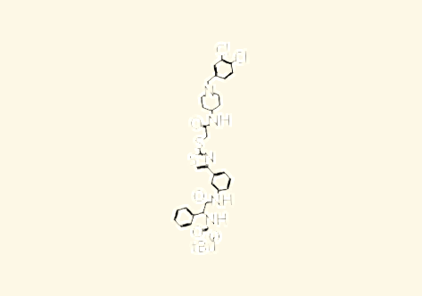 CC(C)(C)OC(=O)N[C@H](C(=O)Nc1cccc(-c2csc(SCC(=O)NC3CCN(Cc4ccc(Cl)c(Cl)c4)CC3)n2)c1)c1ccccc1